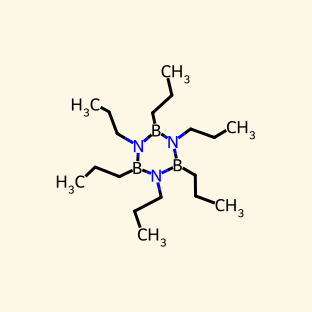 CCCB1N(CCC)B(CCC)N(CCC)B(CCC)N1CCC